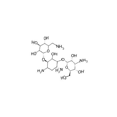 NCC1O[C@H](O[C@@H]2C(N)C[C@@H](N)C(OC3O[C@H](CO)[C@@H](O)C(N)[C@H]3O)C2O)C(O)[C@@H](O)[C@@H]1O